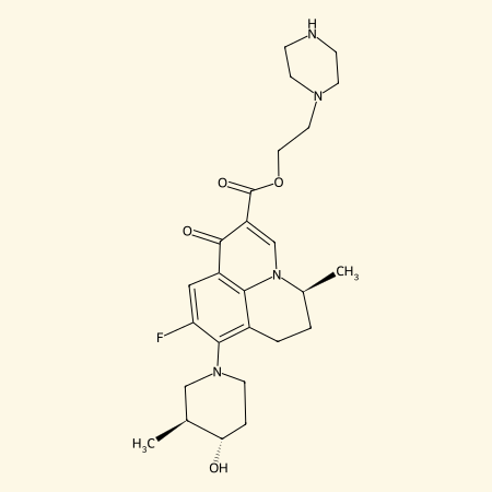 C[C@H]1CN(c2c(F)cc3c(=O)c(C(=O)OCCN4CCNCC4)cn4c3c2CC[C@@H]4C)CC[C@@H]1O